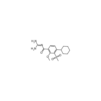 COc1c(C(=O)N=C(N)N)ccc(C2CCCCC2)c1S(C)(=O)=O